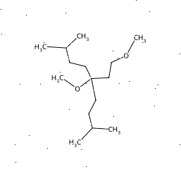 COCCC(CCC(C)C)(CCC(C)C)OC